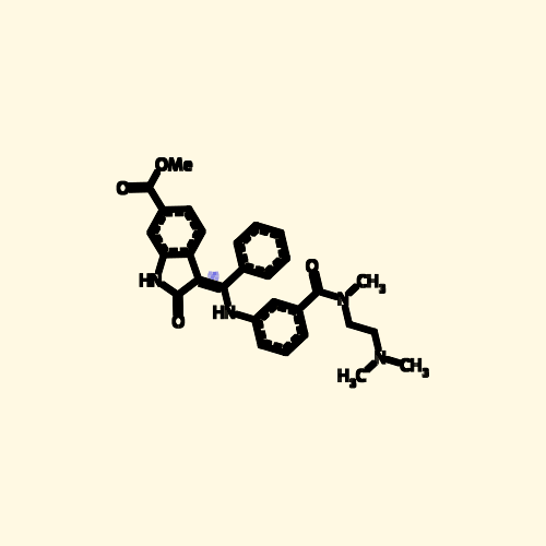 COC(=O)c1ccc2c(c1)NC(=O)/C2=C(\Nc1cccc(C(=O)N(C)CCN(C)C)c1)c1ccccc1